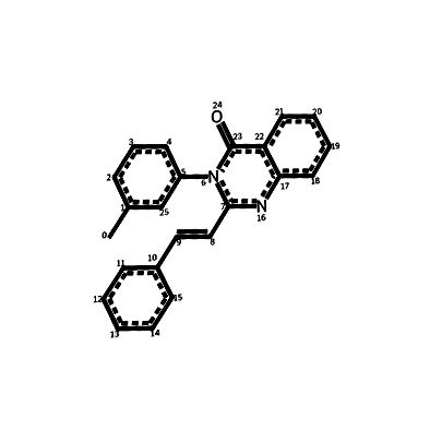 Cc1cccc(-n2c(/C=C/c3ccccc3)nc3ccccc3c2=O)c1